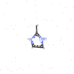 Cc1nc[c][nH]1